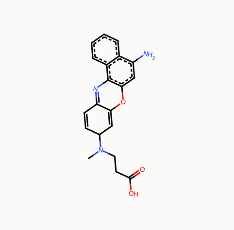 CN(CCC(=O)O)C1C=CC2=Nc3c(cc(N)c4ccccc34)OC2=C1